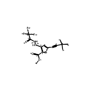 COC(=O)c1sc(C#CC(C)(C)C)cc1NNC(=O)C(F)(F)F